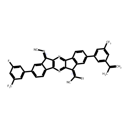 C=C(C)c1cc(-c2ccc3c(c2)/C(=C(/C#N)CC)c2nc4c(nc2-3)/C(=N/C#N)c2cc(-c3cc(F)cc(C(F)(F)F)c3)ccc2-4)cc(C(F)(F)F)c1